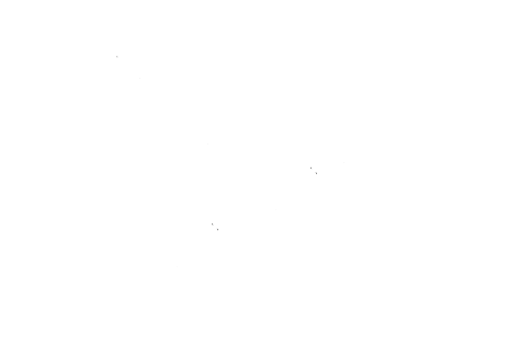 CCCN1CCc2c(cc(-c3ccc(C(F)(F)F)cc3)cc2NCC2CCCCC2)C1